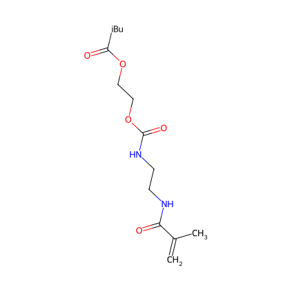 C=C(C)C(=O)NCCNC(=O)OCCOC(=O)C(C)CC